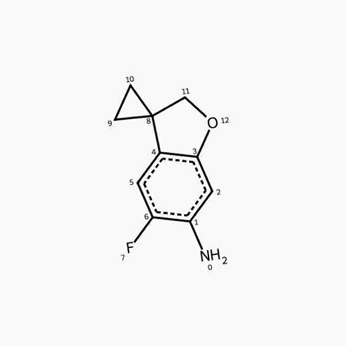 Nc1cc2c(cc1F)C1(CC1)CO2